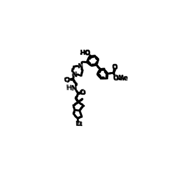 CCC1CC2CC(C)(CC(=O)NCC(=O)N3CCN(Cc4cc(-c5cccc(C(=O)OC)c5)ccc4O)CC3)CC2C1